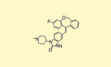 CN1CCC(n2c(=O)[nH]c3cc(C=C4c5ccccc5COc5cc(F)ccc54)ccc32)CC1